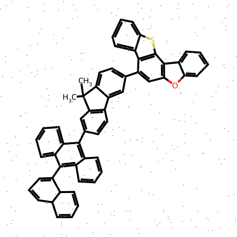 CC1(C)c2ccc(-c3cc4oc5ccccc5c4c4sc5ccccc5c34)cc2-c2ccc(-c3c4ccccc4c(C4=CC=CC5C=CC=CC45)c4ccccc34)cc21